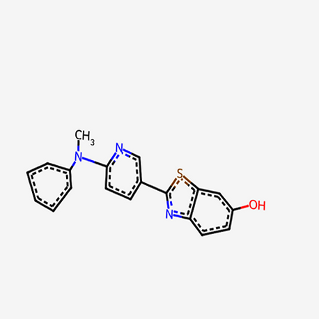 CN(c1ccccc1)c1ccc(-c2nc3ccc(O)cc3s2)cn1